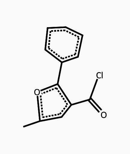 Cc1cc(C(=O)Cl)c(-c2ccccc2)o1